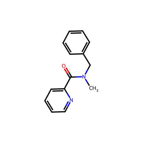 CN(Cc1ccccc1)C(=O)c1ccccn1